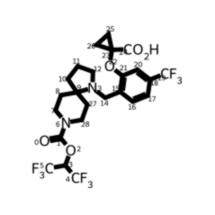 O=C(OC(C(F)(F)F)C(F)(F)F)N1CCC2(CCCN2Cc2ccc(C(F)(F)F)cc2OC2(C(=O)O)CC2)CC1